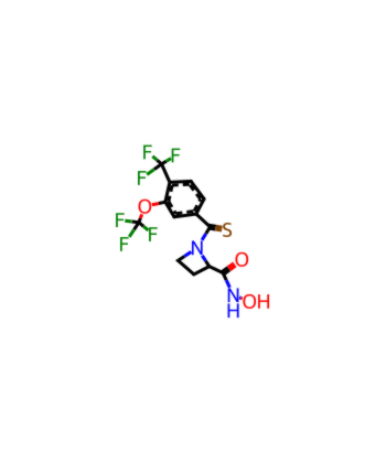 O=C(NO)C1CCN1C(=S)c1ccc(C(F)(F)F)c(OC(F)(F)F)c1